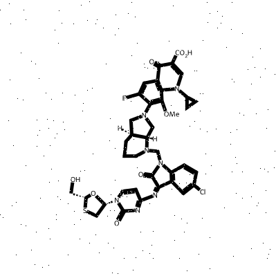 COc1c(N2C[C@@H]3CCCN(CN4C(=O)/C(=N\c5ccn([C@@H]6CS[C@H](CO)O6)c(=O)n5)c5cc(Cl)ccc54)[C@@H]3C2)c(F)cc2c(=O)c(C(=O)O)cn(C3CC3)c12